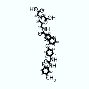 Cc1ccc(F)c(NC(=O)Nc2ccc(Oc3ccnc4cc(C(=O)NCCCN(CC(=O)O)CC(=O)O)sc34)cc2)c1